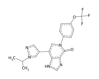 CC(C)n1cc(-c2cn(-c3ccc(OC(F)(F)F)cc3)c(=O)c3nc[nH]c23)cn1